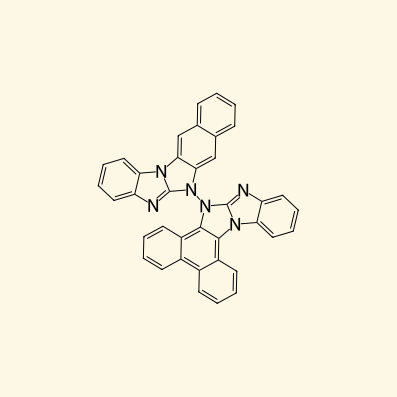 c1ccc2cc3c(cc2c1)n(-n1c2c4ccccc4c4ccccc4c2n2c4ccccc4nc12)c1nc2ccccc2n31